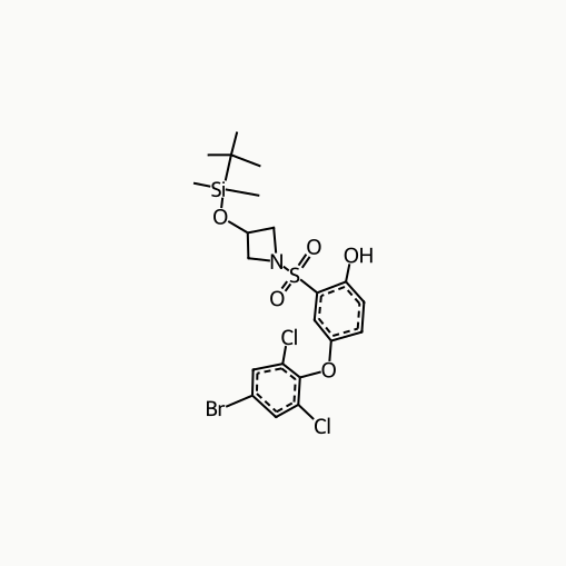 CC(C)(C)[Si](C)(C)OC1CN(S(=O)(=O)c2cc(Oc3c(Cl)cc(Br)cc3Cl)ccc2O)C1